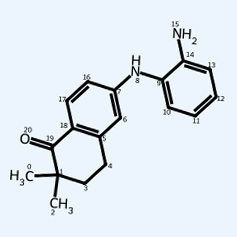 CC1(C)CCc2cc(Nc3ccccc3N)ccc2C1=O